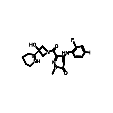 Cn1nc(C(=O)N2CC(O)([C@@H]3CCCCN3)C2)c(Nc2ccc(I)cc2F)cc1=O